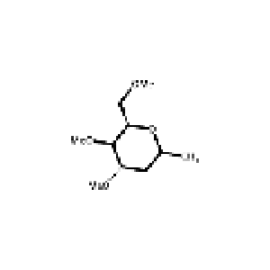 COC[C@H]1OC(C)C[C@H](OC)[C@H]1OC